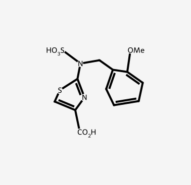 COc1ccccc1CN(c1nc(C(=O)O)cs1)S(=O)(=O)O